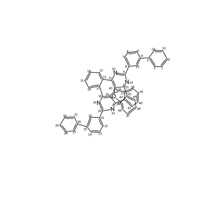 c1ccc(-c2cccc(-c3nc(-c4ccccc4-c4nc(-c5cccc(-c6ccccc6)c5)nc5c4oc4ccccc45)c4oc5ccccc5c4n3)c2)cc1